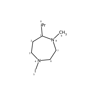 CC(C)C1CCN(I)CCN1C